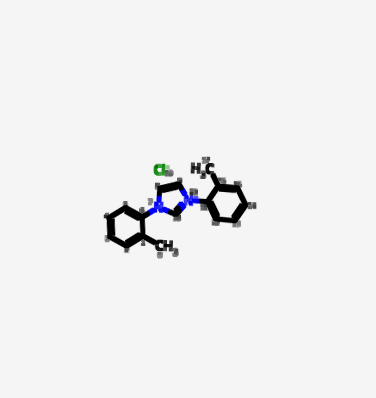 Cc1ccccc1-n1cc[n+](-c2ccccc2C)c1.[Cl-]